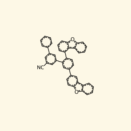 N#Cc1cc(-c2ccccc2)cc(-c2cc(-c3ccc4oc5ccccc5c4c3)ccc2-c2cccc3oc4ccccc4c23)c1